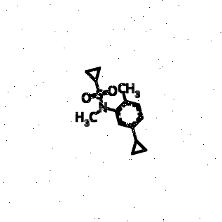 Cc1ccc(C2CC2)cc1N(C)S(=O)(=O)C1CC1